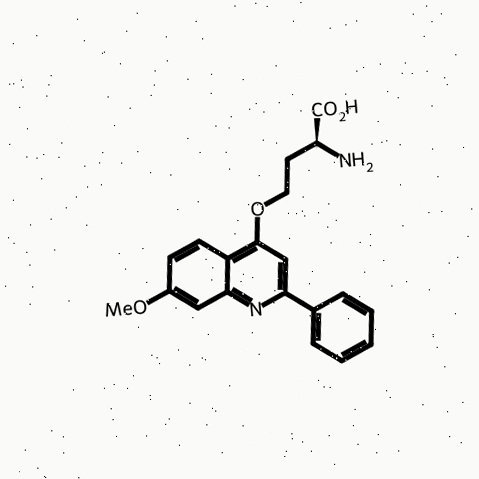 COc1ccc2c(OCC[C@H](N)C(=O)O)cc(-c3ccccc3)nc2c1